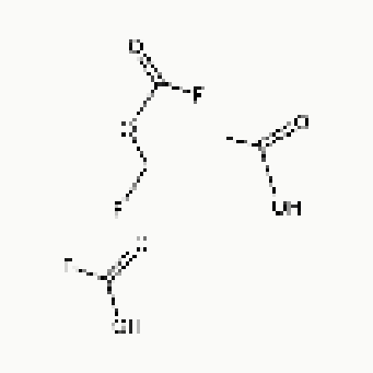 O=C(F)OCF.O=C(O)F.O=C(O)F